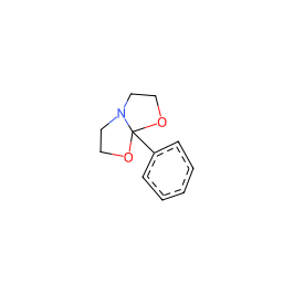 c1ccc(C23OCCN2CCO3)cc1